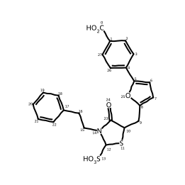 O=C(O)c1ccc(-c2ccc(CC3SC(S(=O)(=O)O)N(CCc4ccccc4)C3=O)o2)cc1